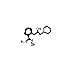 NC(=NO)c1ccccc1CC(O)CN1CCCCC1